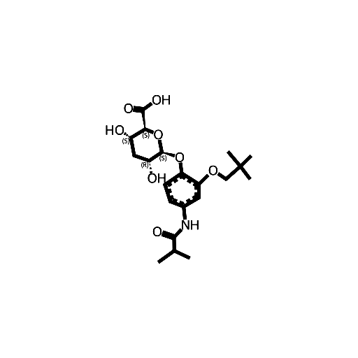 CC(C)C(=O)Nc1ccc(O[C@@H]2O[C@H](C(=O)O)[C@@H](O)C[C@H]2O)c(OCC(C)(C)C)c1